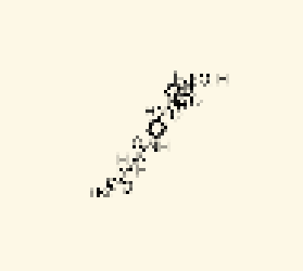 CC(C)(C)OC(=O)NCCNC(=O)Nc1ccc(NC(=O)N2CC[C@@H]3[C@H]2C(=O)N3S(=O)(=O)O)cc1